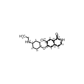 CCN[C@H]1CC[C@@H](Oc2cc3cc[nH]c(=O)c3cc2Cl)CC1